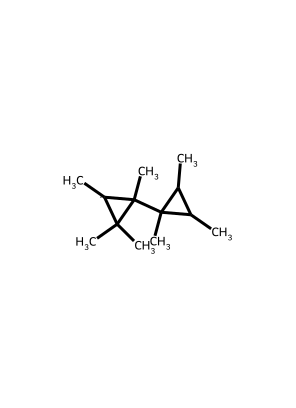 C[C]1C(C)(C)C1(C)C1(C)C(C)C1C